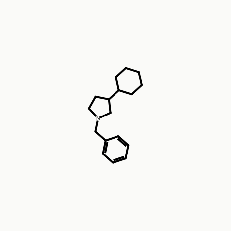 c1ccc(CN2CCC(C3CCCCC3)C2)cc1